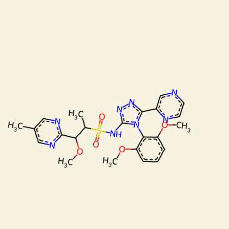 COc1cccc(OC)c1-n1c(NS(=O)(=O)C(C)C(OC)c2ncc(C)cn2)nnc1-c1cnccn1